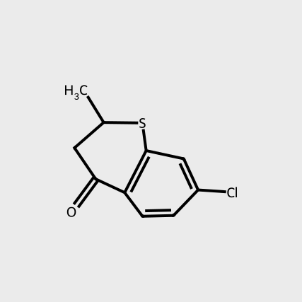 CC1CC(=O)c2ccc(Cl)cc2S1